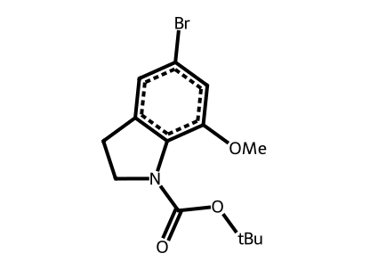 COc1cc(Br)cc2c1N(C(=O)OC(C)(C)C)CC2